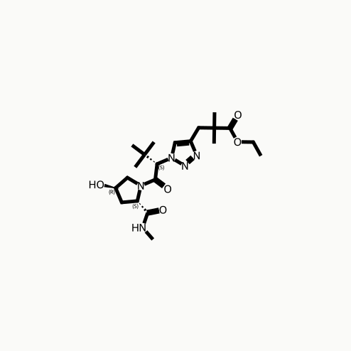 CCOC(=O)C(C)(C)Cc1cn([C@H](C(=O)N2C[C@H](O)C[C@H]2C(=O)NC)C(C)(C)C)nn1